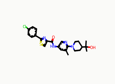 Cc1cc(NC(=O)c2csc(-c3ccc(Cl)cc3)n2)cnc1N1CCC(C(C)(C)O)CC1